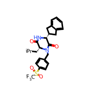 CC(C)C[C@@H]1C(=O)N[C@H](C2Cc3ccccc3C2)C(=O)N1Cc1ccc(S(=O)(=O)C(F)(F)F)cc1